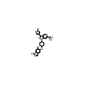 CCNc1cc2c(cn1)c(-c1cnn(C)c1)nn2C1CCC(Oc2cc3cn[nH]c3cc2C)CC1